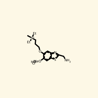 CC[N+](C)(CC)CCCOc1cc2nc(CN)sc2cc1OC.Cl.[Cl-]